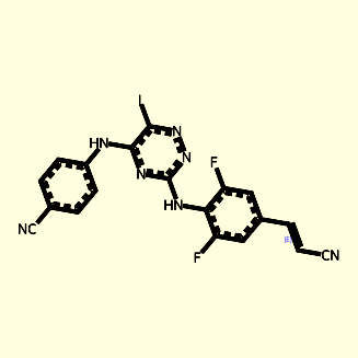 N#C/C=C/c1cc(F)c(Nc2nnc(I)c(Nc3ccc(C#N)cc3)n2)c(F)c1